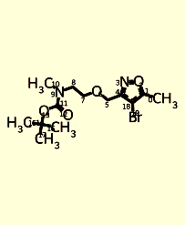 Cc1onc(COCCN(C)C(=O)OC(C)(C)C)c1Br